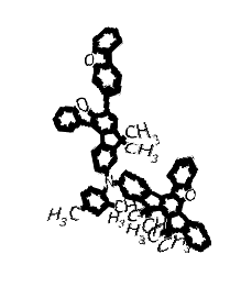 Cc1ccc(N(c2ccc3c(c2)C(C)(C)c2cc(-c4ccc5c(c4)oc4ccccc45)c4oc5ccccc5c4c2-3)c2ccc3c(c2)C(C)(C)c2c4c(c5oc6ccccc6c5c2-3)-c2ccccc2C4(C)C)c(C)c1